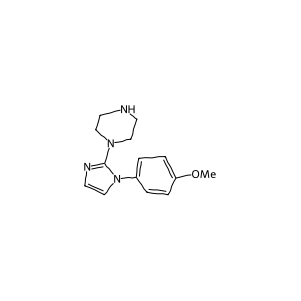 COc1ccc(-n2ccnc2N2CCNCC2)cc1